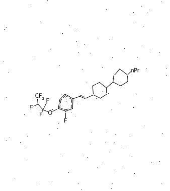 CCCC1CCC(C2CCC(C=Cc3ccc(OC(F)(F)C(F)C(F)(F)F)c(F)c3)CC2)CC1